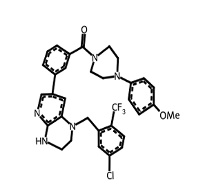 COc1ccc(N2CCN(C(=O)c3cccc(-c4cnc5c(c4)N(Cc4cc(Cl)ccc4C(F)(F)F)CCN5)c3)CC2)cc1